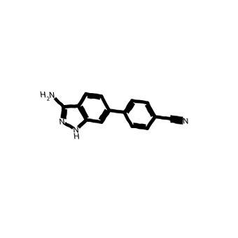 N#Cc1ccc(-c2ccc3c(N)n[nH]c3c2)cc1